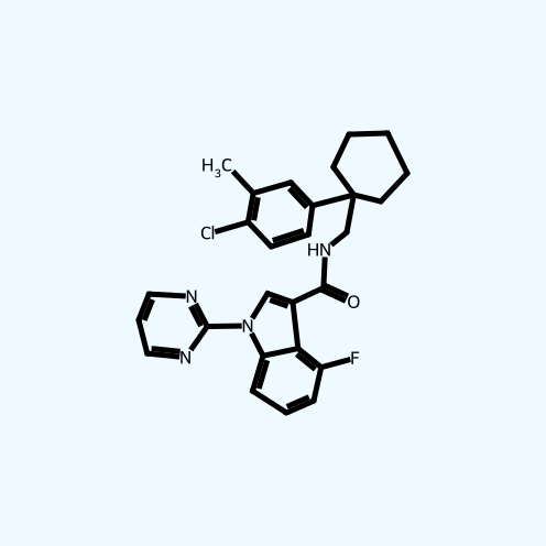 Cc1cc(C2(CNC(=O)c3cn(-c4ncccn4)c4cccc(F)c34)CCCCC2)ccc1Cl